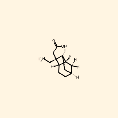 NC[C@]1(CC(=O)O)[C@H]2CC[C@H]3C[C@@H]1[C@]2(F)[C@H]3F